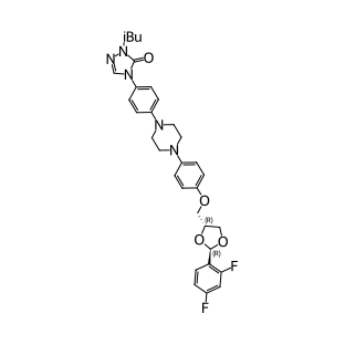 CCC(C)n1ncn(-c2ccc(N3CCN(c4ccc(OC[C@@H]5CO[C@@H](c6ccc(F)cc6F)O5)cc4)CC3)cc2)c1=O